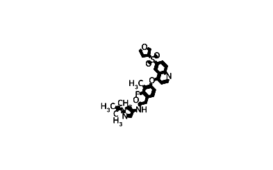 Cc1c(Oc2ccnc3ccc(S(=O)(=O)C4CCOC4)cc23)ccc(CC(=O)Nc2cnn(C(C)(C)C)c2)c1F